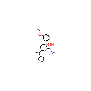 CCOc1cccc(C2(O)CCC(C(C)C3CCCC3)CC2CN(C)C)c1